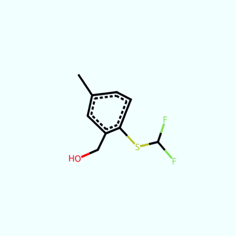 Cc1ccc(SC(F)F)c(CO)c1